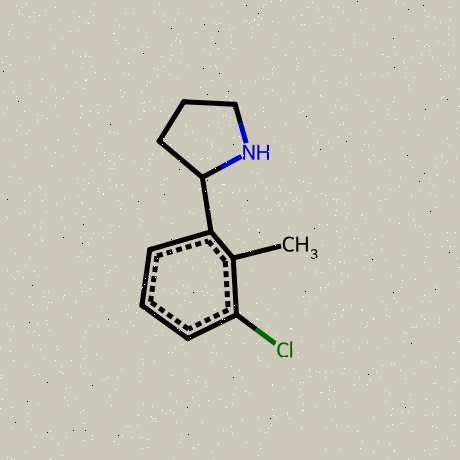 Cc1c(Cl)cccc1C1CCCN1